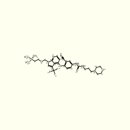 C[Si](C)(C)CCOCn1cc(C(F)(F)F)c2c(Oc3ccc(NC(=O)NCCCN4CCOCC4)cc3C#N)ccnc21